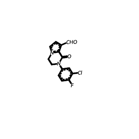 O=Cc1ccn2c1C(=O)N(c1ccc(F)c(Cl)c1)CC2